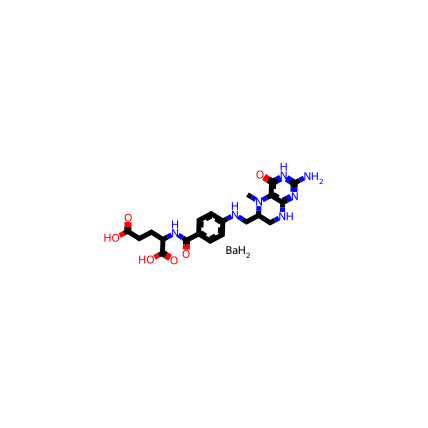 CN1c2c(nc(N)[nH]c2=O)NCC1CNc1ccc(C(=O)NC(CCC(=O)O)C(=O)O)cc1.[BaH2]